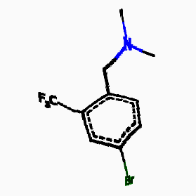 CN(C)Cc1ccc(Br)cc1C(F)(F)F